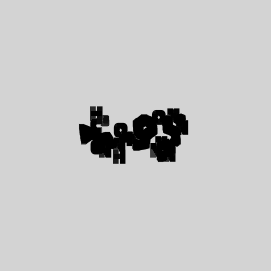 CC1(c2cc(NC(=O)n3ccc4cc(Oc5cc(Cn6ncnn6)ncn5)ccc43)no2)CC1